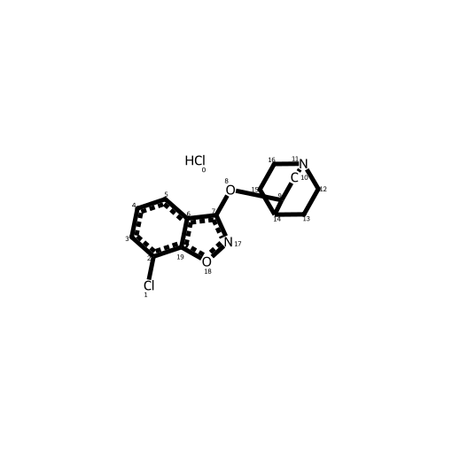 Cl.Clc1cccc2c(OC3CN4CCC3CC4)noc12